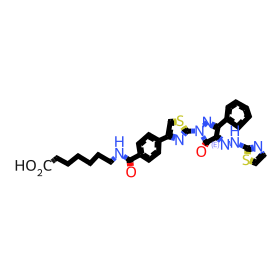 O=C(O)CCCCCCNC(=O)c1ccc(-c2csc(N3N=C(c4ccccc4)/C(=N\Nc4nccs4)C3=O)n2)cc1